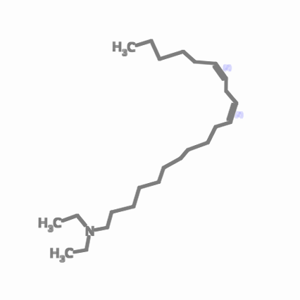 CCCCC/C=C\C/C=C\CCCCCCCCCCN(CC)CC